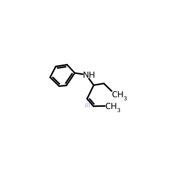 C/C=C\C(CC)Nc1ccccc1